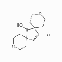 ON1C2(C=C(S)C13CCOCC3)CCOCC2